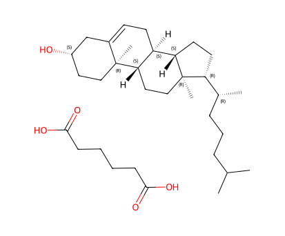 CC(C)CCC[C@@H](C)[C@H]1CC[C@H]2[C@@H]3CC=C4C[C@@H](O)CC[C@]4(C)[C@H]3CC[C@]12C.O=C(O)CCCCC(=O)O